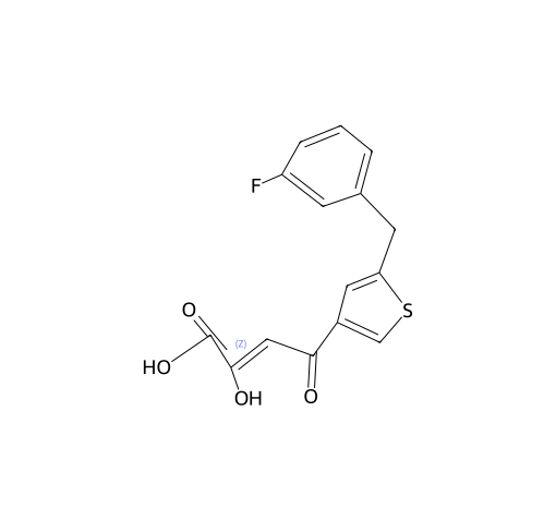 O=C(O)/C(O)=C/C(=O)c1csc(Cc2cccc(F)c2)c1